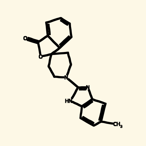 Cc1ccc2[nH]c(N3CCC4(CC3)OC(=O)c3ccccc34)nc2c1